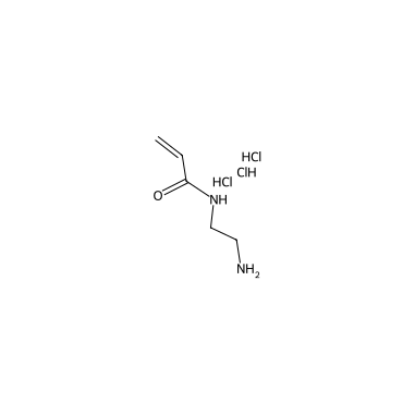 C=CC(=O)NCCN.Cl.Cl.Cl